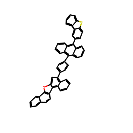 c1ccc2c(c1)ccc1c2oc2cc(-c3ccc(-c4c5ccccc5c(-c5ccc6sc7ccccc7c6c5)c5ccccc45)cc3)c3ccccc3c21